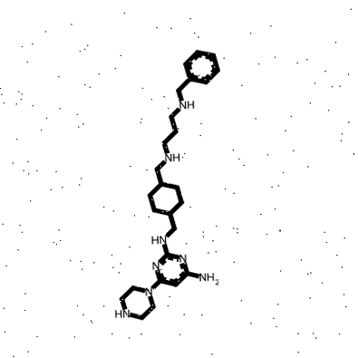 Nc1cc(N2CCNCC2)nc(NCC2CCC(CNCCCNCc3ccccc3)CC2)n1